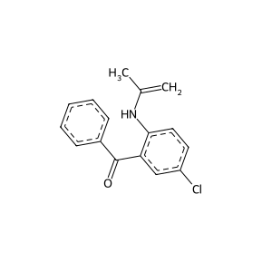 C=C(C)Nc1ccc(Cl)cc1C(=O)c1ccccc1